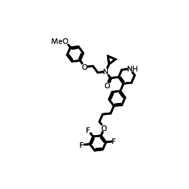 COc1ccc(OCCN(C(=O)C2=C(c3ccc(CCCOc4c(F)ccc(F)c4F)cc3)CCNC2)C2CC2)cc1